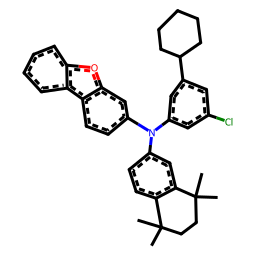 CC1(C)CCC(C)(C)c2cc(N(c3cc(Cl)cc(C4CCCCC4)c3)c3ccc4c(c3)oc3ccccc34)ccc21